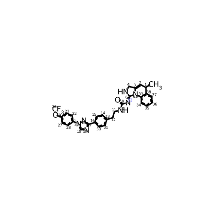 CC1C=C2CN/C(=N\C(=O)NCCc3ccc(-c4ncn(-c5ccc(OC(F)(F)F)cc5)n4)cc3)N2c2ccccc21